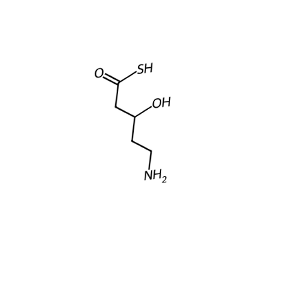 NCCC(O)CC(=O)S